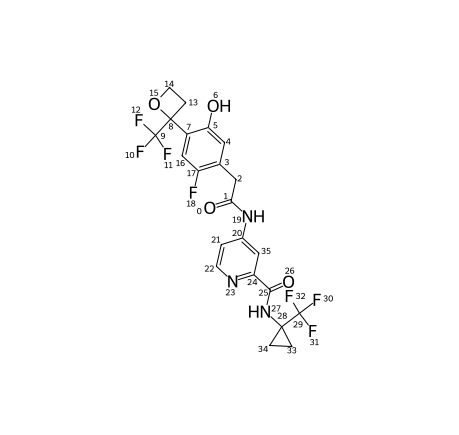 O=C(Cc1cc(O)c(C2(C(F)(F)F)CCO2)cc1F)Nc1ccnc(C(=O)NC2(C(F)(F)F)CC2)c1